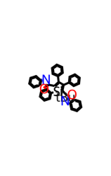 CC(C)(C)[Si]1(c2ccccc2)C(c2nc3ccccc3o2)=C(c2ccccc2)C(c2ccccc2)=C1c1nc2ccccc2o1